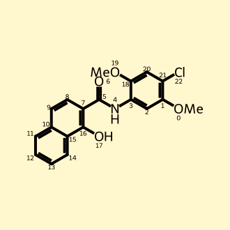 COc1cc(NC(=O)c2ccc3ccccc3c2O)c(OC)cc1Cl